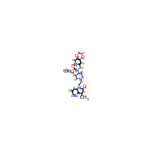 Cc1cc(=O)n(CCN2CCC(N(Cc3cc4c(cn3)OCCO4)C(=O)OC(C)(C)C)CC2)c2cc(F)cnc12